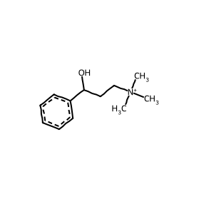 C[N+](C)(C)CCC(O)c1ccccc1